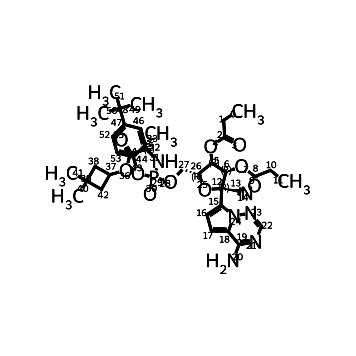 CCC(=O)O[C@H]1[C@@H](OC(=O)CC)[C@](C#N)(c2ccc3c(N)ncnn23)O[C@@H]1COP(=O)(N[C@@H](C)C(=O)OC1CC(C)(C)C1)Oc1ccc(C(C)(C)C)cc1